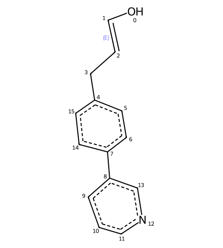 O/C=C/Cc1ccc(-c2cccnc2)cc1